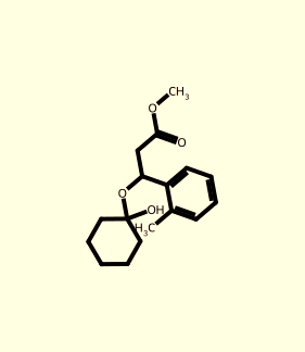 COC(=O)CC(OC1(O)CCCCC1)c1ccccc1C